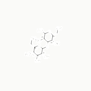 OC[C@H]1OC(O[C@H]2[C@H](O)[C@@H](CO)OC(O)[C@@H]2O)[C@H](O)[C@@H](O)[C@@H]1O